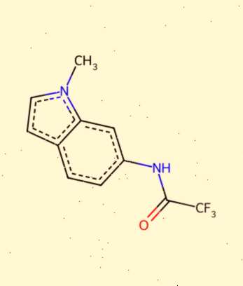 Cn1ccc2ccc(NC(=O)C(F)(F)F)cc21